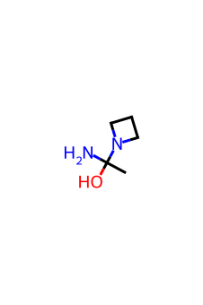 CC(N)(O)N1CCC1